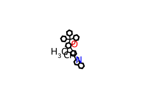 CC1(C)c2cc(-c3ccc4ccccc4n3)ccc2-c2c1ccc1c2Oc2ccccc2C1(c1ccccc1)c1ccccc1